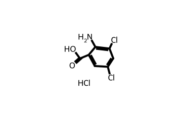 Cl.Nc1c(Cl)cc(Cl)cc1C(=O)O